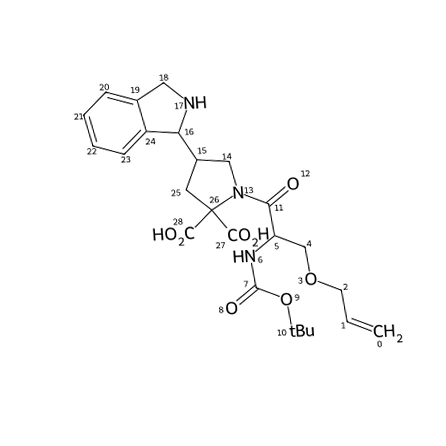 C=CCOCC(NC(=O)OC(C)(C)C)C(=O)N1CC(C2NCc3ccccc32)CC1(C(=O)O)C(=O)O